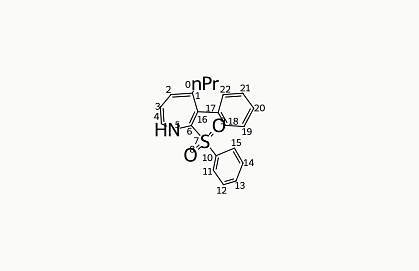 CCCC1=CC=CNC(S(=O)(=O)c2ccccc2)=C1c1ccccc1